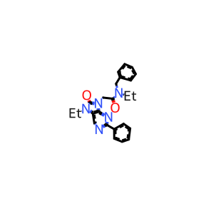 CCN(Cc1ccccc1)C(=O)Cn1c(=O)n(CC)c2cnc(-c3ccccc3)nc21